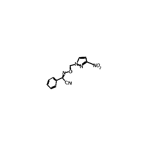 N#C/C(=N\OCn1ccc([N+](=O)[O-])n1)c1ccccc1